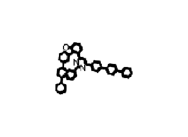 C1=CC(c2ccc(-c3ccc(-c4cc(-c5cccc6oc7c(c56)C=C(C5=CC=C(C6CC=CCC6)CC5)CC7)nc(-c5ccccc5)n4)cc3)cc2)=CCC1